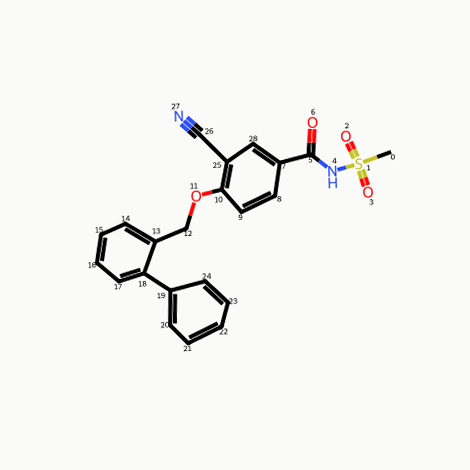 CS(=O)(=O)NC(=O)c1ccc(OCc2ccccc2-c2ccccc2)c(C#N)c1